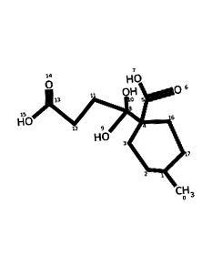 CC1CCC(C(=O)O)(C(O)(O)CCC(=O)O)CC1